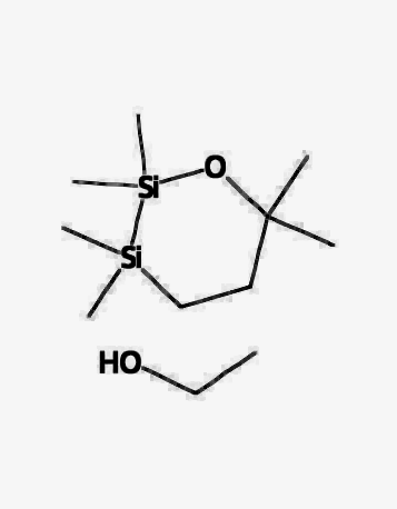 CC1(C)CC[Si](C)(C)[Si](C)(C)O1.CCO